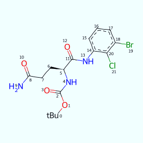 CC(C)(C)OC(=O)N[C@@H](CCC(N)=O)C(=O)Nc1cccc(Br)c1Cl